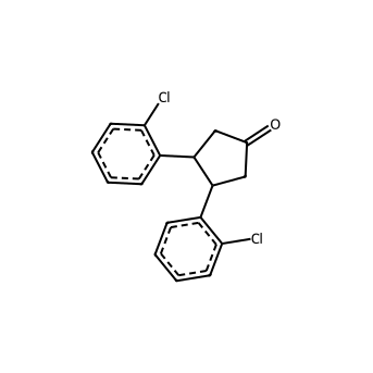 O=C1CC(c2ccccc2Cl)C(c2ccccc2Cl)C1